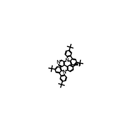 CC(C)(C)c1ccc2c(c1)c1cc(C(C)(C)C)ccc1n2-c1ccc(C#N)cc1-c1ccncc1-n1c2ccc(C(C)(C)C)cc2c2cc(C(C)(C)C)ccc21